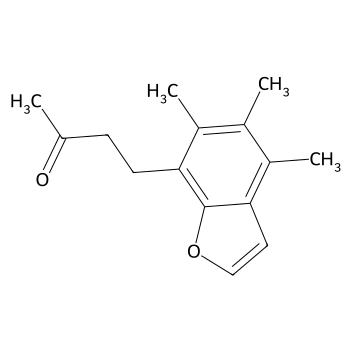 CC(=O)CCc1c(C)c(C)c(C)c2ccoc12